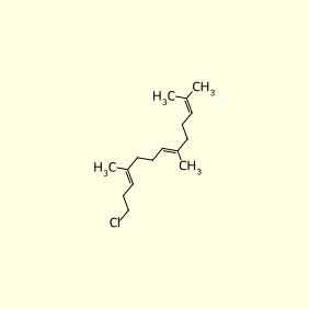 CC(C)=CCCC(C)=CCCC(C)=CCCCl